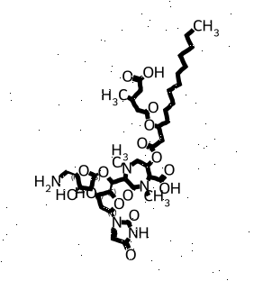 CCCCCCCCCCCC(CC(=O)OC1CN(C)C(C(O[C@H]2C[C@H](O)[C@@H](CN)O2)[C@H]2O[C@@H](n3ccc(=O)[nH]c3=O)C[C@@H]2O)C(=O)N(C)C1C(=O)O)OC(=O)CC(C)CC(=O)O